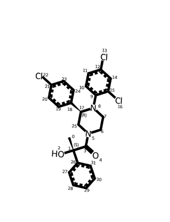 C[C@@](O)(C(=O)N1CCN(c2ccc(Cl)cc2Cl)[C@H](c2ccc(Cl)cc2)C1)c1ccccc1